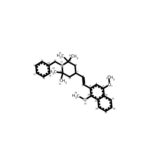 COc1cc(/C=C/C2CC(C)(C)N(Cc3ccccc3)C(C)(C)C2)c(OC)c2ccccc12